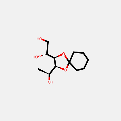 C[C@H](O)[C@@H]1OC2(CCCCC2)O[C@@H]1[C@H](O)CO